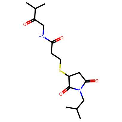 CC(C)CN1C(=O)CC(SCCC(=O)NCC(=O)C(C)C)C1=O